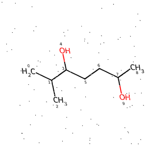 [CH2]C(C)C(O)CCC(C)O